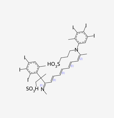 C\N=C(/C=C/C=C/C=C/C=C(/C)N(CCCS(=O)(=O)O)c1cc(I)c(I)c(I)c1C)C(C)(CS(=O)(=O)O)c1c(C)cc(I)c(I)c1I